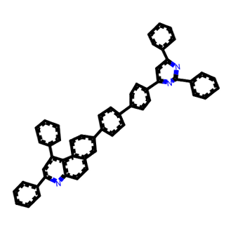 c1ccc(-c2cc(-c3ccc(-c4ccc(-c5ccc6c(ccc7nc(-c8ccccc8)cc(-c8ccccc8)c76)c5)cc4)cc3)nc(-c3ccccc3)n2)cc1